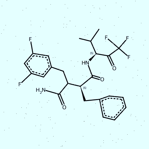 CC(C)[C@H](NC(=O)[C@@H](Cc1ccccc1)C(Cc1cc(F)cc(F)c1)C(N)=O)C(=O)C(F)(F)F